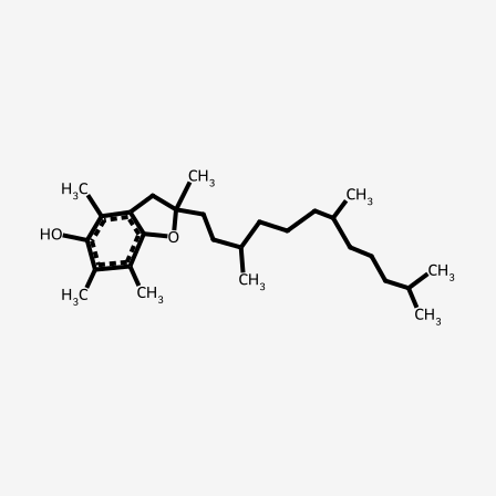 Cc1c(C)c2c(c(C)c1O)CC(C)(CCC(C)CCCC(C)CCCC(C)C)O2